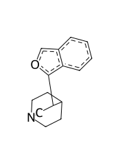 c1ccc2c(C3CN4CCC3CC4)occ2c1